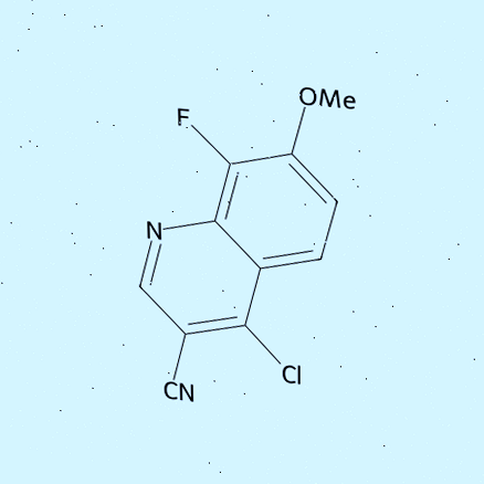 COc1ccc2c(Cl)c(C#N)cnc2c1F